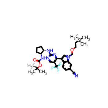 CC(C)(C)OC(=O)N[C@H]1CCC[C@@H]1Nc1ncc(C(F)(F)F)c(-c2cn(COCC[Si](C)(C)C)c3cc(C#N)ccc23)n1